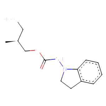 C[C@H](COC(=O)NN1CCc2ccccc21)CC(=O)O